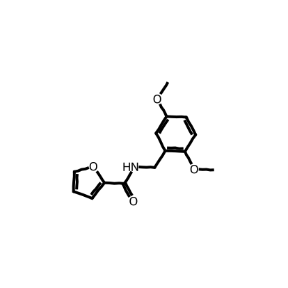 COc1ccc(OC)c(CNC(=O)c2ccco2)c1